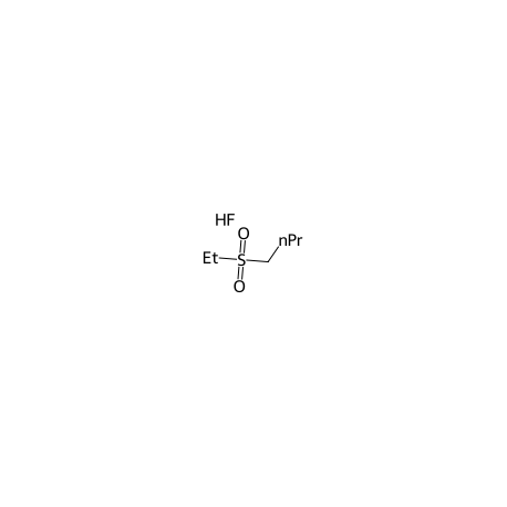 CCCCS(=O)(=O)CC.F